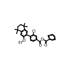 CCOc1cc2c(cc1-c1ccc(C(=O)OC(=O)c3ccccc3)cc1Cl)C(C)(C)CCC2(C)C